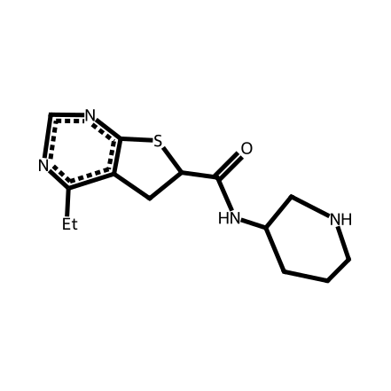 CCc1ncnc2c1CC(C(=O)NC1CCCNC1)S2